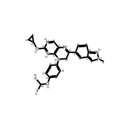 Cn1cc2cc(C3=Nc4cnc(OC5CC5)nc4N(c4ccc(OC(F)F)cc4)C3)ccc2n1